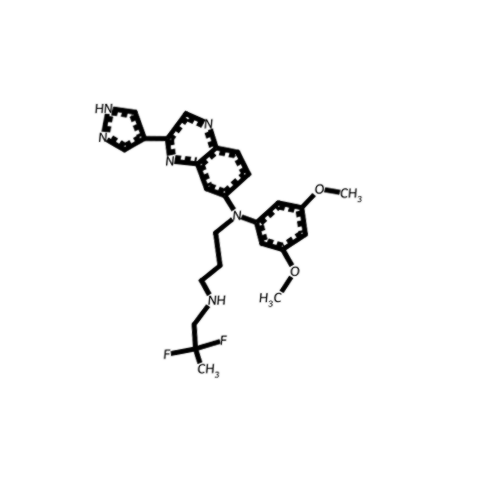 COc1cc(OC)cc(N(CCCNCC(C)(F)F)c2ccc3ncc(-c4cn[nH]c4)nc3c2)c1